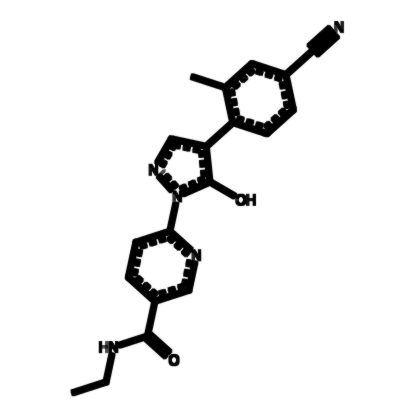 CCNC(=O)c1ccc(-n2ncc(-c3ccc(C#N)cc3C)c2O)nc1